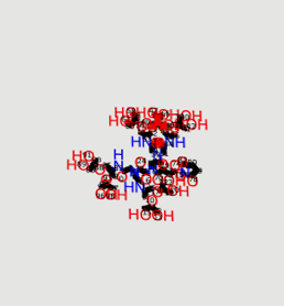 O=C(CN(CC(=O)NC(COC(CO)CO)COC(CO)CO)C(=O)CN(CC(=O)N(CC(=O)NC(COC(CO)CO)COC(CO)CO)CC(=O)NC(COC(CO)CO)COC(CO)CO)C(=O)CCC(=O)ON1C(=O)CCC1=O)NC(COC(CO)CO)COC(CO)CO